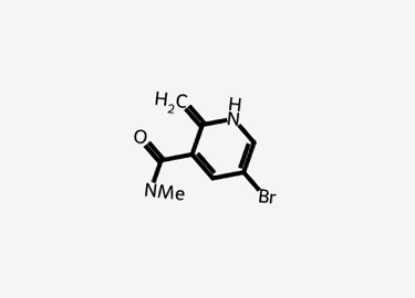 C=C1NC=C(Br)C=C1C(=O)NC